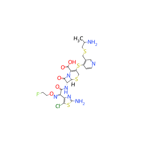 CC(N)CSCc1cnccc1SC1=C(C(=O)O)N2C(=O)[C@@H](NC(=O)/C(=N\OCCF)c3nc(N)sc3Cl)[C@@H]2SC1